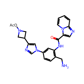 CC(=O)ON1CC(c2cn(-c3ccc(CN)c(NC(=O)c4cnc5ccccn45)c3)cn2)C1